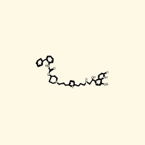 O=C(Nc1ccccc1-c1ccccc1)OC1CCN(CCCc2ccc(CCCNCC(O)c3ccc(O)c4[nH]c(=O)ccc34)s2)CC1